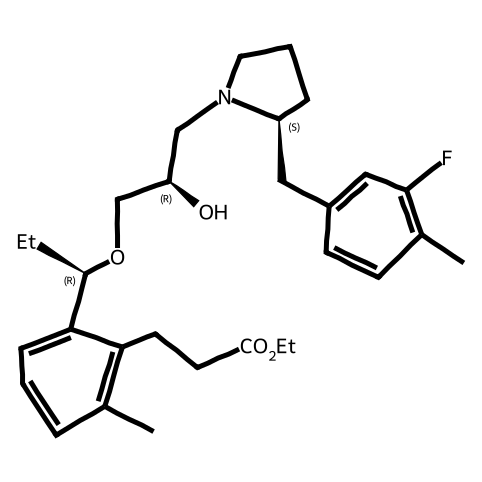 CCOC(=O)CCc1c(C)cccc1[C@@H](CC)OC[C@H](O)CN1CCC[C@H]1Cc1ccc(C)c(F)c1